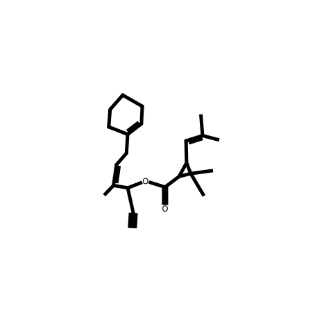 C#CC(OC(=O)C1C(C=C(C)C)C1(C)C)C(C)=CCC1=CCCCC1